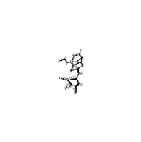 CCCC12CCC(C1)C1CC(Cc3cc(F)c(F)c(F)c3)CC12